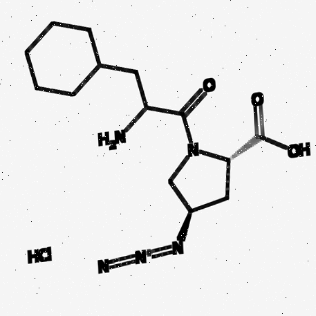 Cl.[N-]=[N+]=N[C@@H]1C[C@@H](C(=O)O)N(C(=O)C(N)CC2CCCCC2)C1